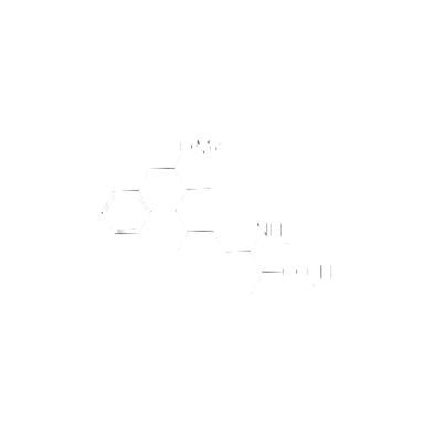 COC(Cc1ccccc1)C(C)CC(C)CCC(N)C(C)C(=O)O